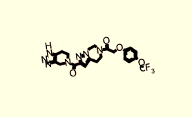 O=C(COc1ccc(OC(F)(F)F)cc1)N1CCc2cc(C(=O)N3CCc4[nH]nnc4C3)nn2CC1